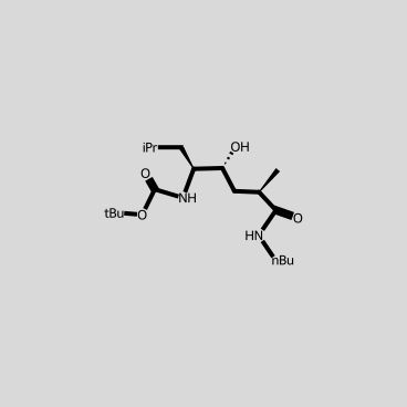 CCCCNC(=O)[C@H](C)C[C@@H](O)[C@H](CC(C)C)NC(=O)OC(C)(C)C